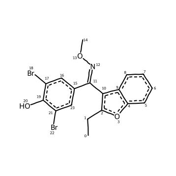 CCc1oc2ccccc2c1C(=NOC)c1cc(Br)c(O)c(Br)c1